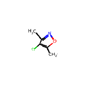 [CH2]c1onc(C)c1Cl